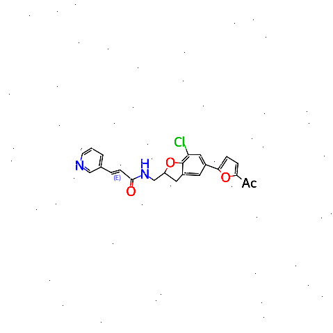 CC(=O)c1ccc(-c2cc(Cl)c3c(c2)CC(CNC(=O)/C=C/c2cccnc2)O3)o1